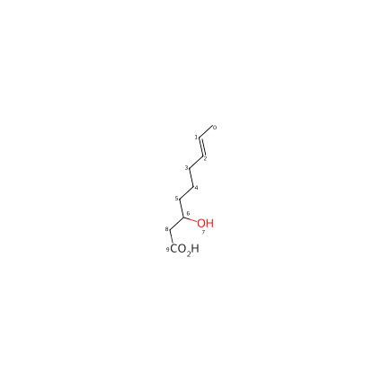 CC=CCCCC(O)CC(=O)O